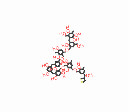 Cc1cc(C(O)c2ccsc2)cc(COCc2cc(C)c(O)c(COCc3cc(Cc4cc(Cc5cc(COCc6c(COCc7cc(CO)c(O)c(Cc8cc(O)c(C)c(O)c8CO)c7O)cc(O)c(C)c6O)c(O)cc5O)c(O)cc4O)c(O)cc3O)c2O)c1O